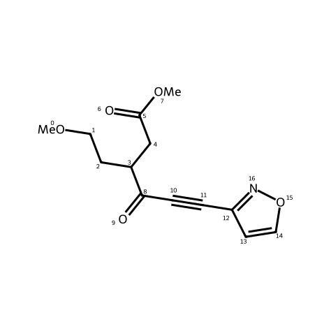 COCCC(CC(=O)OC)C(=O)C#Cc1ccon1